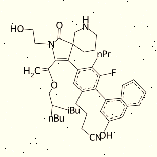 C=C(OCC(CCCC)C(C)CC)C1=C(c2cc(CCCC#N)c(-c3cc(O)cc4ccccc34)c(F)c2CCC)C2(CCCNC2)C(=O)N1CCO